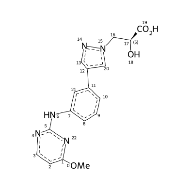 COc1ccnc(Nc2cccc(-c3cnn(C[C@H](O)C(=O)O)c3)c2)n1